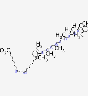 CC1=C(/C=C/C(C)=C/C=C/C(C)=C/C=C/C=C(C)/C=C/C=C(C)/C=C/C2=C(C)CCC[C@]2(C)CCCCCC/C=C\C/C=C\CCCCCCCC(=O)O)C(C)(C)CCC1